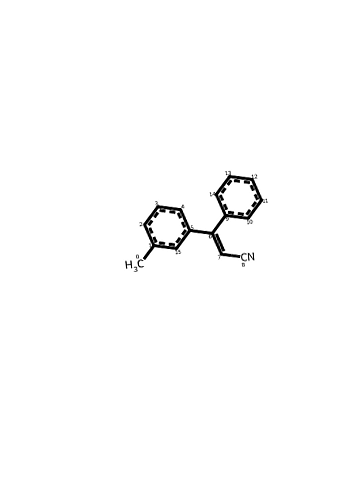 Cc1cccc(C(=CC#N)c2ccccc2)c1